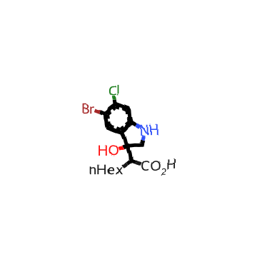 CCCCCCC(C(=O)O)C1(O)CNc2cc(Cl)c(Br)cc21